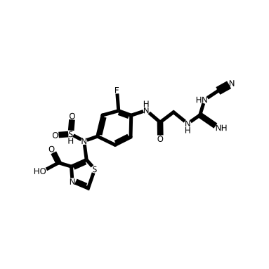 N#CNC(=N)NCC(=O)Nc1ccc(N(c2scnc2C(=O)O)[SH](=O)=O)cc1F